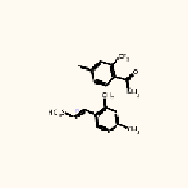 Cc1ccc(/C=C/S(=O)(=O)O)c(C)c1.NC(=O)c1ccc(F)cc1C(F)(F)F